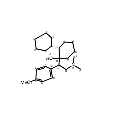 C1CCCCC1.COc1ccc(C(CN(C)C)C2(O)CCCCC2)cc1